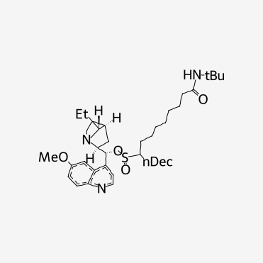 CCCCCCCCCCC(CCCCCCCC(=O)NC(C)(C)C)S(=O)O[C@H](c1ccnc2ccc(OC)cc12)[C@@H]1C[C@@H]2CCN1C[C@@H]2CC